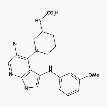 COc1cccc(Nc2c[nH]c3ncc(Br)c(N4CCCC(NC(=O)O)C4)c23)c1